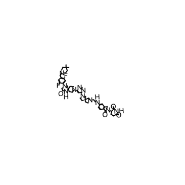 CC1(C)CCN(Cc2cc(F)c(N3CC(=O)NC4(CCN(c5cc(N6CC[C@@]7(CCN(CCNc8ccc9c(c8)CN(C8CCC(=O)NC8=O)C9=O)C7)C6)ncn5)CC4)C3)cc2F)CC1